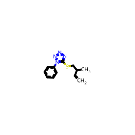 C=CC(C)CSc1nnnn1-c1ccccc1